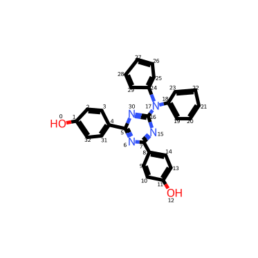 Oc1ccc(-c2nc(-c3ccc(O)cc3)nc(N(c3ccccc3)c3ccccc3)n2)cc1